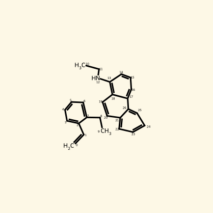 C=Cc1ccccc1CC.CCNc1cccc2c1ccc1ccccc12